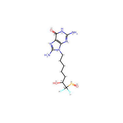 Nc1nc2c(nc(N)n2CCCCCC(O)C(F)(F)P=O)c(=O)[nH]1